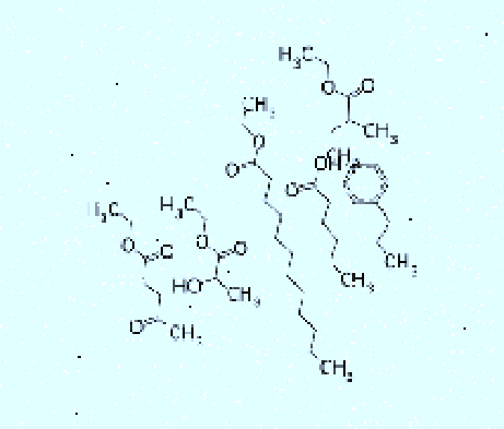 CCCCCC(=O)O.CCCCCCCCCCCC(=O)OCC.CCCc1cc[c]cc1.CCOC(=O)C(C)CC.CCOC(=O)C(C)O.CCOC(=O)CCC(C)=O